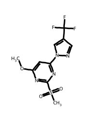 COc1cc(-n2cc(C(F)(F)F)cn2)nc(S(C)(=O)=O)n1